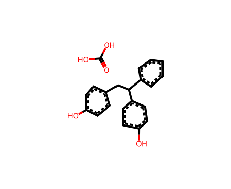 O=C(O)O.Oc1ccc(CC(c2ccccc2)c2ccc(O)cc2)cc1